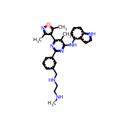 CNCCNCc1cccc(-c2nc(Nc3cccc4[nH]ccc34)c(C)c(-c3c(C)noc3C)n2)c1